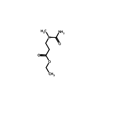 CCOC(=O)CCN(C)C(N)=O